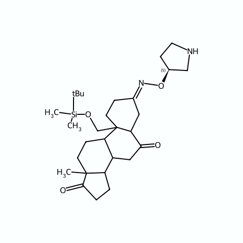 CC12CCC3C(CC(=O)C4CC(=NO[C@H]5CCNC5)CCC43CO[Si](C)(C)C(C)(C)C)C1CCC2=O